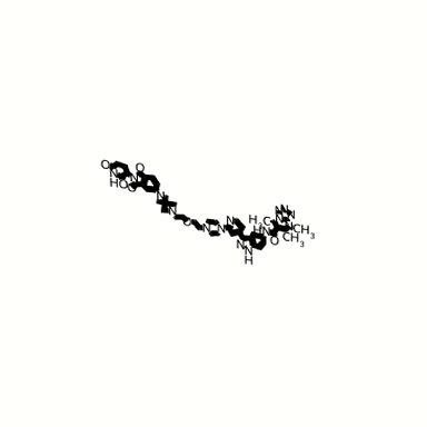 CC1=C(C(=O)Nc2ccc3[nH]nc(-c4ccnc(N5CCN(CCOCCN6CC7(C6)CN(c6ccc8c(c6)C(=O)N(C6CCC(=O)NC6=O)C8=O)C7)CC5)c4)c3c2)[C@@H](C)n2nnnc2N1C